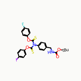 CC(C)(C)OC(=O)NCc1ccc(N(C(=S)Oc2ccc(F)cc2)C(=S)Oc2ccc(I)cc2)cc1